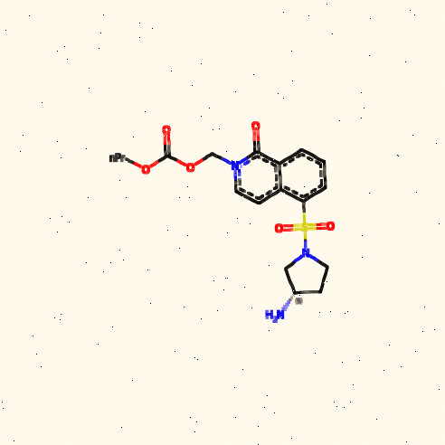 CCCOC(=O)OCn1ccc2c(S(=O)(=O)N3CC[C@H](N)C3)cccc2c1=O